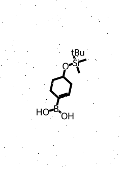 CC(C)(C)[Si](C)(C)OC1CC=C(B(O)O)CC1